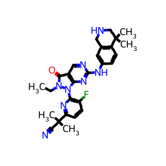 CCn1c(=O)c2cnc(Nc3ccc4c(c3)CNCC4(C)C)nc2n1-c1nc(C(C)(C)C#N)ccc1F